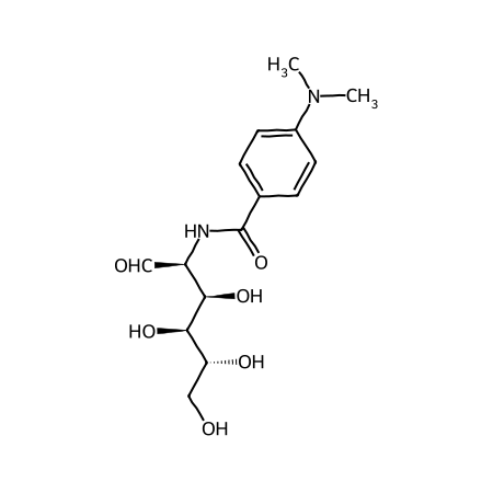 CN(C)c1ccc(C(=O)N[C@H](C=O)[C@@H](O)[C@H](O)[C@H](O)CO)cc1